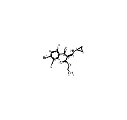 CCOC(=O)/C(=C/NC1CC1)C(=O)c1cc(F)c(Br)cc1F